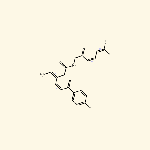 C=C(/C=C\C=C(/C)F)CNC(=O)CC(/C=C\C(=C)c1ccc(F)cc1)=C/N